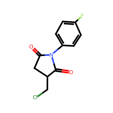 O=C1CC(CCl)C(=O)N1c1ccc(F)cc1